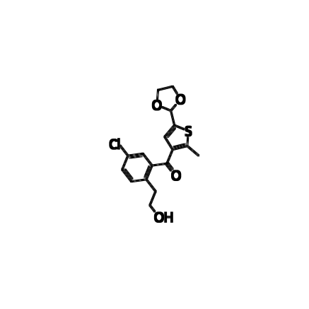 Cc1sc(C2OCCO2)cc1C(=O)c1cc(Cl)ccc1CCO